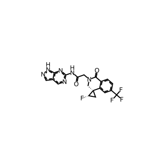 O=C(CN1C[C@@]2(C[C@@H]2F)c2cc(C(F)(F)F)ccc2C1=O)Nc1ncc2cn[nH]c2n1